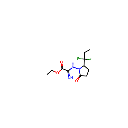 CCOC(=O)C(=N)NN1C(=O)CCC1C(F)(F)CC